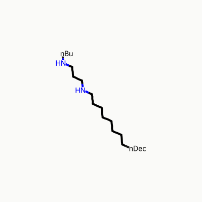 CCCCCCCCCCCCCCCCCCNCCCNCCCC